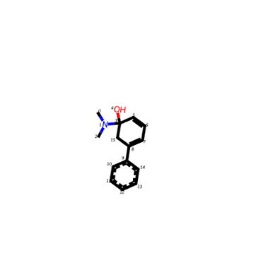 CN(C)C1(O)C=CC=C(c2ccccc2)C1